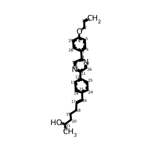 C=CCOc1ccc(-c2cnc(-c3ccc(C=CCCCC(C)O)cc3)cn2)cc1